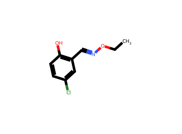 CCON=Cc1cc(Cl)ccc1O